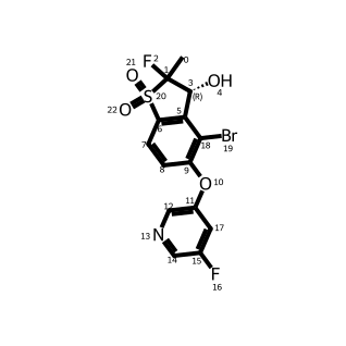 CC1(F)[C@H](O)c2c(ccc(Oc3cncc(F)c3)c2Br)S1(=O)=O